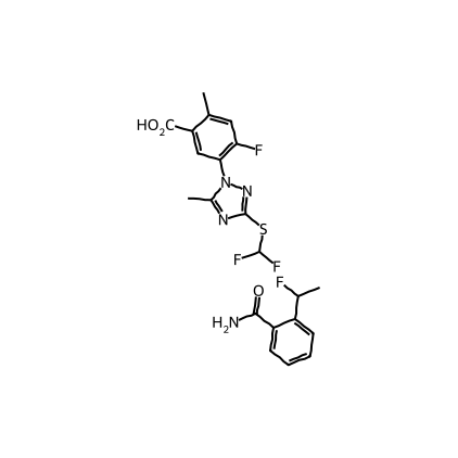 CC(F)c1ccccc1C(N)=O.Cc1cc(F)c(-n2nc(SC(F)F)nc2C)cc1C(=O)O